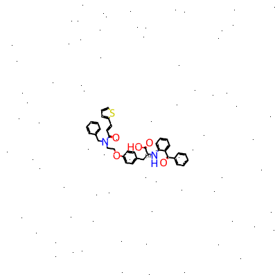 O=C(c1ccccc1)c1ccccc1N[C@@H](Cc1ccc(OCCN(Cc2ccccc2)C(=O)C=Cc2cccs2)cc1)C(=O)O